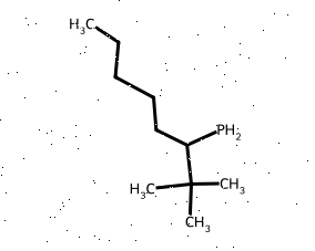 CCCCCC(P)C(C)(C)C